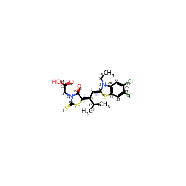 CCN1/C(=C/C(=C2/SC(=S)N(CC(=O)O)C2=O)C(C)C)Sc2cc(Cl)c(Cl)cc21